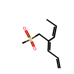 C=C/C=C(\C=C/C)CS(C)(=O)=O